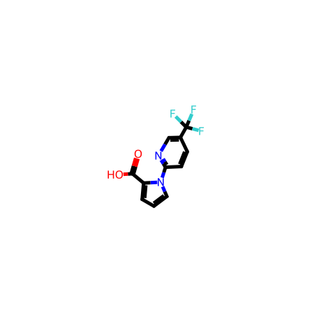 O=C(O)c1cccn1-c1ccc(C(F)(F)F)cn1